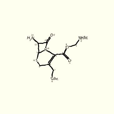 CC(=O)NCOC(=O)C1=C(COC(C)=O)CSC2C(N)C(=O)N12